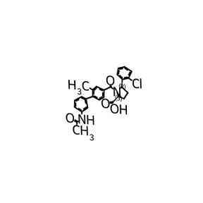 CC(=O)Nc1cccc(-c2ccc(C(=O)N3[C@@H](c4ccccc4Cl)CC[C@H]3C(=O)O)cc2C)c1